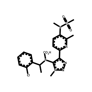 Cc1nc(-c2nnn(C)c2N(C(=O)O)C(C)c2ccccc2Cl)ccc1N(C)S(C)(=O)=O